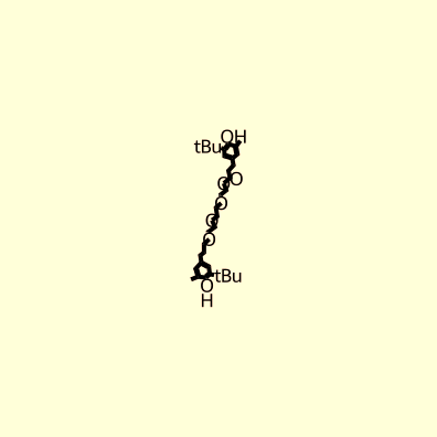 Cc1cc(CCCOCCOCCOCCOC(=O)CCc2cc(C)c(O)c(C(C)(C)C)c2)cc(C(C)(C)C)c1O